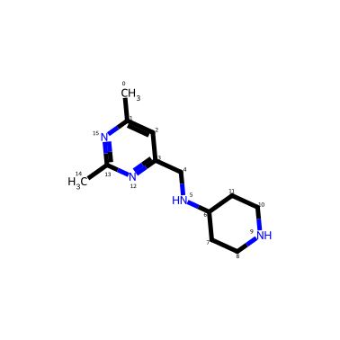 Cc1cc(CNC2CCNCC2)nc(C)n1